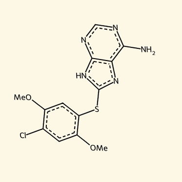 COc1cc(Sc2nc3c(N)ncnc3[nH]2)c(OC)cc1Cl